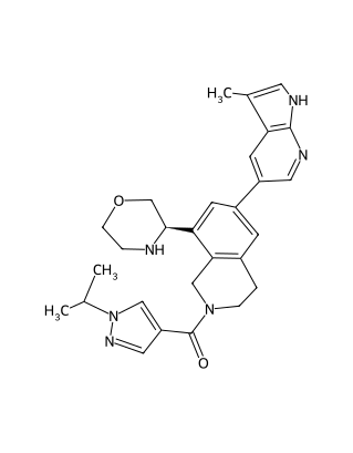 Cc1c[nH]c2ncc(-c3cc4c(c([C@@H]5COCCN5)c3)CN(C(=O)c3cnn(C(C)C)c3)CC4)cc12